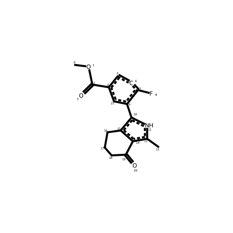 COC(=O)c1ccc(F)c(-c2[nH]c(C)c3c2CCCC3=O)c1